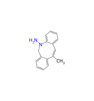 C/C1=C/c2ccccc2N(N)Cc2ccccc21